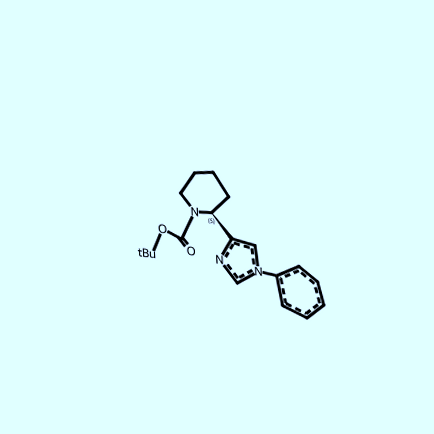 CC(C)(C)OC(=O)N1CCCC[C@H]1c1cn(-c2ccccc2)cn1